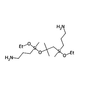 CCO[Si](C)(CCCN)CC(C)(C)O[Si](C)(CCCN)OCC